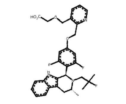 C[C@@H]1Cc2c([nH]c3ccccc23)[C@@H](c2c(F)cc(OCc3ncccc3COCC(=O)O)cc2F)N1CC(C)(C)F